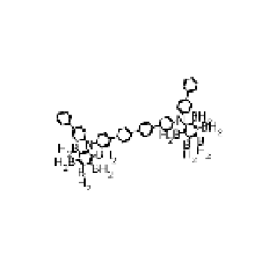 Bc1c(B)c(B)c(N(C2=CCC(c3ccc(C4=CCC(C5=CCC(N(c6c(B)c(B)c(B)c(B)c6B)C6C=CC(c7ccccc7)=CC6)C=C5)C=C4)cc3)C=C2)c2ccc(-c3ccccc3)cc2)c(B)c1B